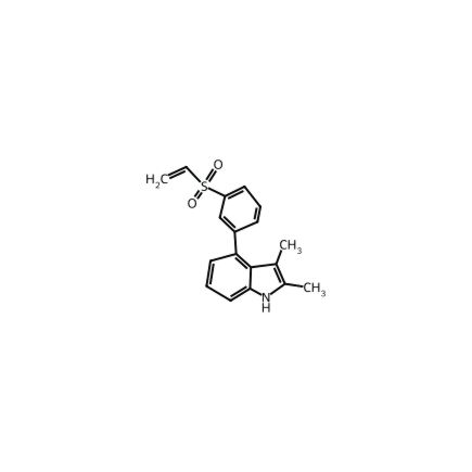 C=CS(=O)(=O)c1cccc(-c2cccc3[nH]c(C)c(C)c23)c1